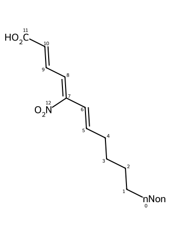 CCCCCCCCCCCCC/C=C/C(=C/C=C/C(=O)O)[N+](=O)[O-]